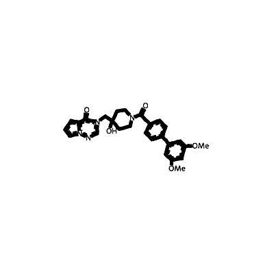 COc1cc(OC)cc(-c2ccc(C(=O)N3CCC(O)(Cn4cnn5cccc5c4=O)CC3)cc2)c1